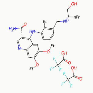 CCCC(CO)NCc1cccc(Nc2c(C(N)=O)cnc3cc(OCC)c(OCC)cc23)c1CC.O=C(O)C(F)(F)F.O=C(O)C(F)(F)F